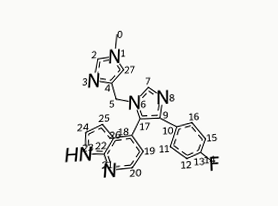 Cn1cnc(Cn2cnc(-c3ccc(F)cc3)c2-c2ccnc3[nH]ccc23)c1